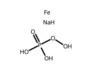 O=P(O)(O)OO.[Fe].[NaH]